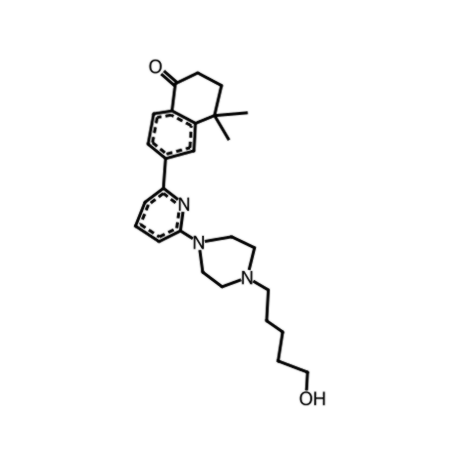 CC1(C)CCC(=O)c2ccc(-c3cccc(N4CCN(CCCCCO)CC4)n3)cc21